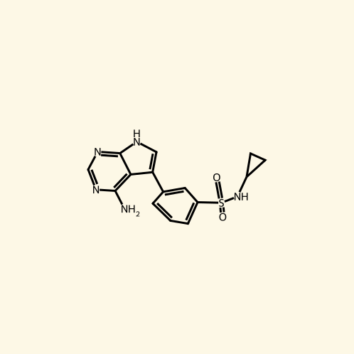 Nc1ncnc2[nH]cc(-c3cccc(S(=O)(=O)NC4CC4)c3)c12